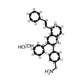 Cl.Cl.NCc1ccc(-c2nc3ccnc(/C=C/c4ccccc4)c3cc2-c2ccccc2)cc1